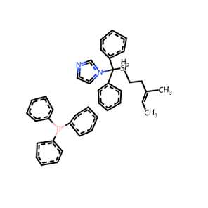 CC=C(C)CC[SiH2]C(c1ccccc1)(c1ccccc1)n1ccnc1.c1ccc(B(c2ccccc2)c2ccccc2)cc1